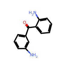 Nc1cccc(C(=O)c2ccccc2N)c1